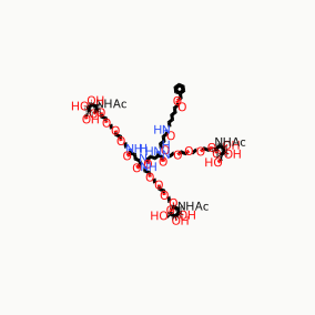 CC(=O)N[C@H]1[C@H](OCCOCCOCCOCCNC(=O)CCC(NC(=O)CCC(NC(=O)CCCC(=O)NCCCCCCC(=O)OCc2ccccc2)C(=O)NCCOCCOCCOCCO[C@@H]2O[C@H](CO)[C@H](O)[C@H](O)[C@H]2NC(C)=O)C(=O)NCCOCCOCCOCCO[C@@H]2O[C@H](CO)[C@H](O)[C@H](O)[C@H]2NC(C)=O)O[C@H](CO)[C@H](O)[C@@H]1O